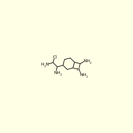 NC(Cl)C(N)C1CCC2C(N)N(N)C2C1